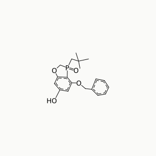 CC(C)(C)CP1(=O)COc2cc(O)cc(OCc3ccccc3)c21